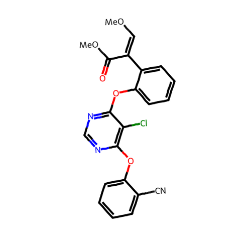 COC=C(C(=O)OC)c1ccccc1Oc1ncnc(Oc2ccccc2C#N)c1Cl